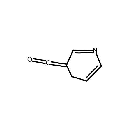 O=C=C1C=NC=CC1